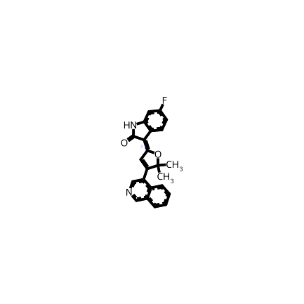 CC1(C)O/C(=C2/C(=O)Nc3cc(F)ccc32)C=C1c1cncc2ccccc12